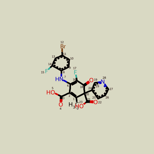 CC1=C(C(=O)O)C(Nc2ccc(Br)cc2F)=C(F)C(=O)C1(C(=O)O)c1cccnc1